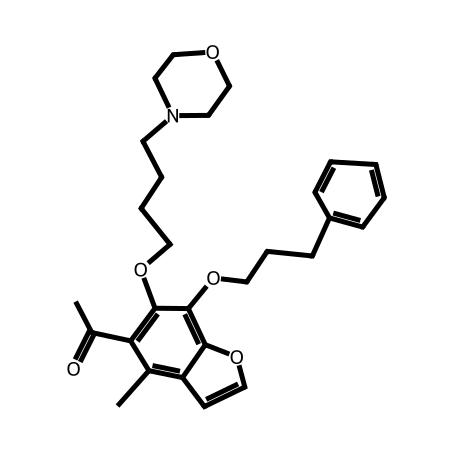 CC(=O)c1c(OCCCCN2CCOCC2)c(OCCCc2ccccc2)c2occc2c1C